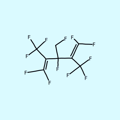 FCC(F)(C(=C(F)F)C(F)(F)F)C(=C(F)F)C(F)(F)F